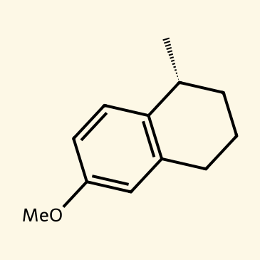 COc1ccc2c(c1)CCC[C@H]2C